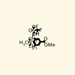 COC(=O)c1cc(F)c([N+](C)(C)C)c(F)c1.O=S(=O)(O)C(F)(F)F